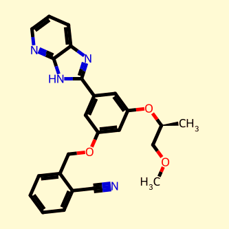 COC[C@H](C)Oc1cc(OCc2ccccc2C#N)cc(-c2nc3cccnc3[nH]2)c1